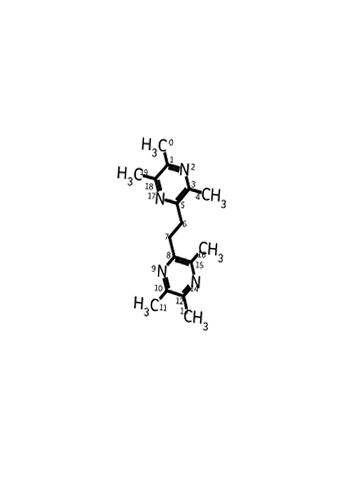 Cc1nc(C)c(CCc2nc(C)c(C)nc2C)nc1C